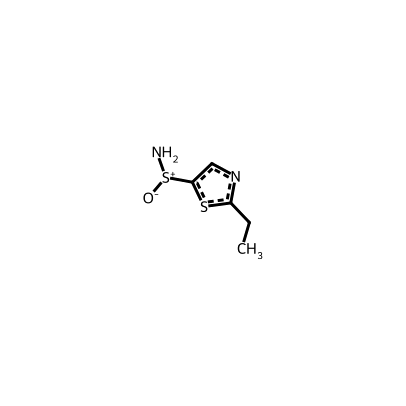 CCc1ncc([S+](N)[O-])s1